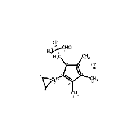 CC1=C(C)C(C)[C]([Zr+2]2[CH2][CH2]2)=C1C.NC=O.[Cl-].[Cl-]